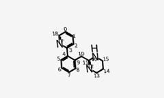 c1ccc(-c2ccccc2CC2=NCCCN2)nc1